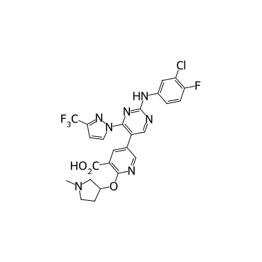 CN1CCC(Oc2ncc(-c3cnc(Nc4ccc(F)c(Cl)c4)nc3-n3ccc(C(F)(F)F)n3)cc2C(=O)O)C1